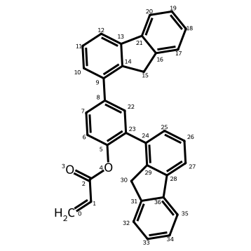 C=CC(=O)Oc1ccc(-c2cccc3c2Cc2ccccc2-3)cc1-c1cccc2c1Cc1ccccc1-2